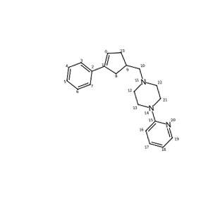 C1=C(c2ccccc2)CC(CN2CCN(c3ccccn3)CC2)C1